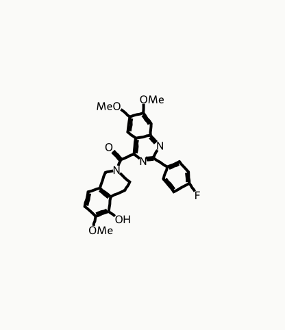 COc1cc2nc(-c3ccc(F)cc3)nc(C(=O)N3CCc4c(ccc(OC)c4O)C3)c2cc1OC